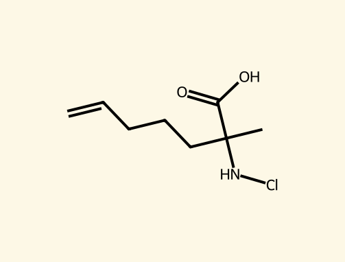 C=CCCCC(C)(NCl)C(=O)O